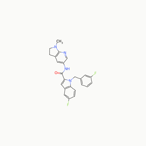 CN1CCc2cc(NC(=O)c3cc4cc(F)ccc4n3Cc3cccc(F)c3)cnc21